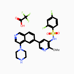 COc1ncc(-c2ccc3cncc(N4CCNCC4)c3c2)cc1NS(=O)(=O)c1ccc(F)cc1F.O=C(O)C(F)(F)F